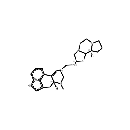 CN1C[C@H](CN[C@H]2CN3CCN4CCC[C@H]4C3O2)C=C2c3cccc4[nH]cc(c34)C[C@H]21